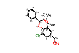 COC(=O)C(Oc1c(Cl)cc(CO)cc1OC)c1ccccc1